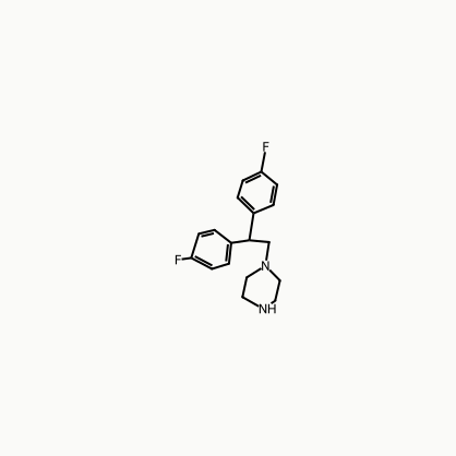 Fc1ccc(C(CN2CCNCC2)c2ccc(F)cc2)cc1